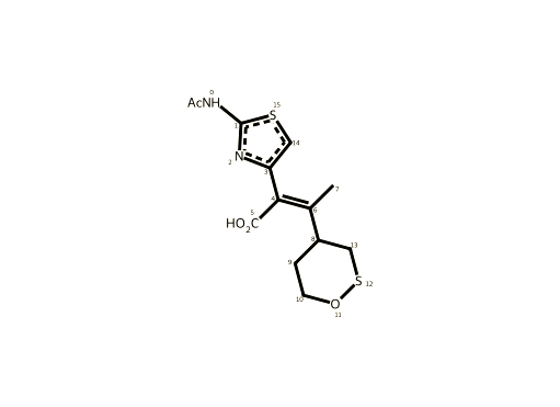 CC(=O)Nc1nc(/C(C(=O)O)=C(\C)C2CCOSC2)cs1